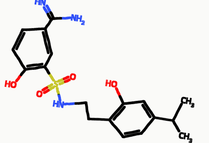 CC(C)c1ccc(CCNS(=O)(=O)c2cc(C(=N)N)ccc2O)c(O)c1